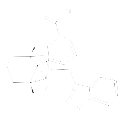 COC1(c2cccc(C(N)=O)c2)[C@@H]2CCC[C@H]1CN(Cc1n[nH]c3ccccc13)C2.Cl